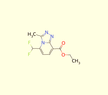 CCOC(=O)c1ccc(C(F)F)n2c(C)nnc12